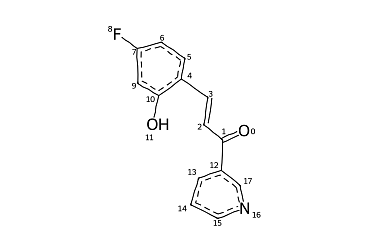 O=C(C=Cc1ccc(F)cc1O)c1cccnc1